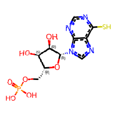 O=P(O)(O)OC[C@H]1O[C@@H](n2cnc3c(S)ncnc32)[C@H](O)[C@@H]1O